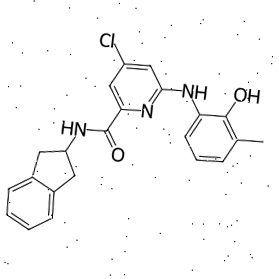 Cc1cccc(Nc2cc(Cl)cc(C(=O)NC3Cc4ccccc4C3)n2)c1O